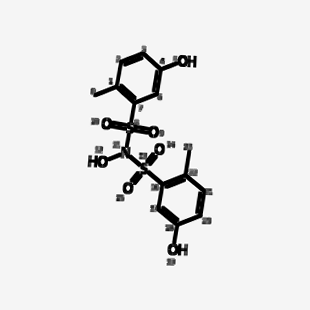 Cc1ccc(O)cc1S(=O)(=O)N(O)S(=O)(=O)c1cc(O)ccc1C